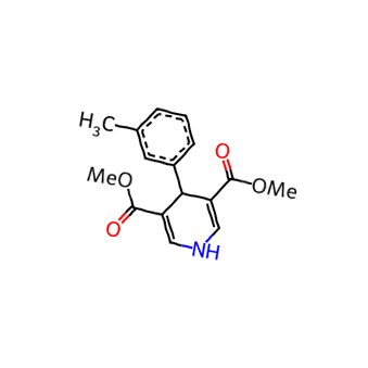 COC(=O)C1=CNC=C(C(=O)OC)C1c1cccc(C)c1